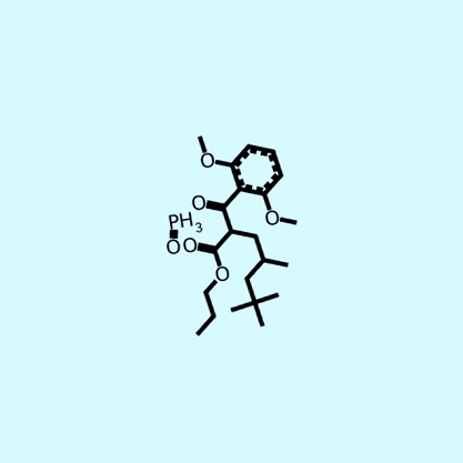 CCCOC(=O)C(CC(C)CC(C)(C)C)C(=O)c1c(OC)cccc1OC.O=[PH3]